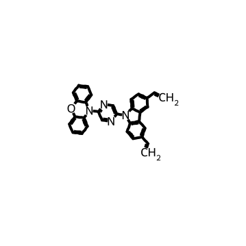 C=Cc1ccc2c(c1)c1cc(C=C)ccc1n2-c1cnc(N2c3ccccc3Oc3ccccc32)cn1